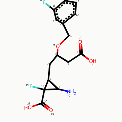 NC1C(CC(CC(=O)O)OCc2cccc(F)c2)C1(F)C(=O)O